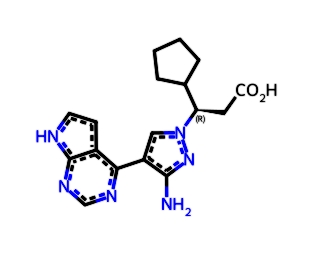 Nc1nn([C@H](CC(=O)O)C2CCCC2)cc1-c1ncnc2[nH]ccc12